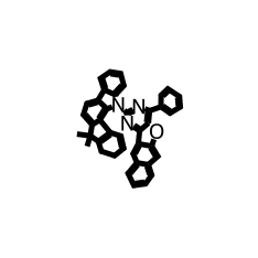 CC1(C)C2=C(C=CCC2)c2c1ccc1c3ccccc3n(-c3nc(-c4ccccc4)c4oc5cc6ccccc6cc5c4n3)c21